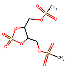 CS(=O)(=O)OCC1OS(=O)(=O)OC1COS(C)(=O)=O